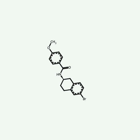 COc1ccc(C(=O)N[C@@H]2CCc3cc(Br)ccc3C2)cc1